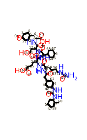 COc1ccc(C[C@@H](NC(=O)C(CC(=O)O)NC(=O)[C@H](NC(=O)[C@H](CCCC(=O)O)NC(=O)[C@H](CCCCNC(N)=O)NC(=O)Cc2ccc(NC(=O)Nc3ccccc3C)cc2)C2CCCCC2)C(=O)O)cc1